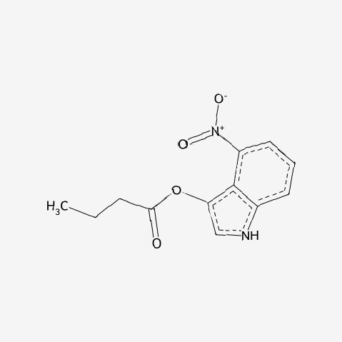 CCCC(=O)Oc1c[nH]c2cccc([N+](=O)[O-])c12